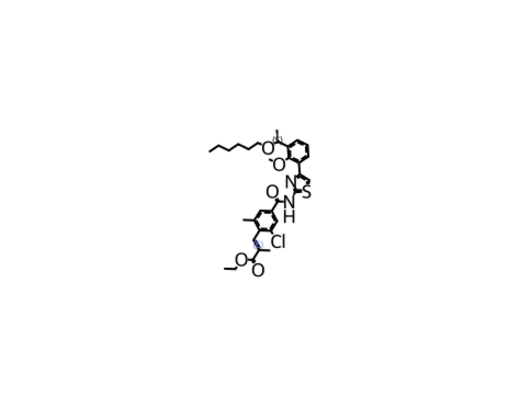 CCCCCCO[C@@H](C)c1cccc(-c2csc(NC(=O)c3cc(C)c(/C=C(\C)C(=O)OCC)c(Cl)c3)n2)c1OC